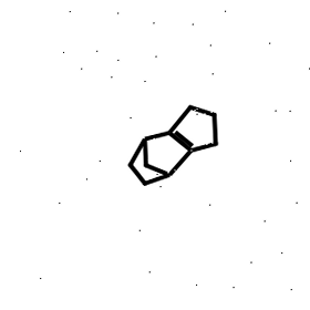 C1CC2=C(C1)C1CCC2C1